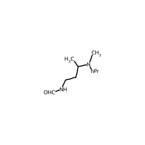 CCCN(C)C(C)CCNC=O